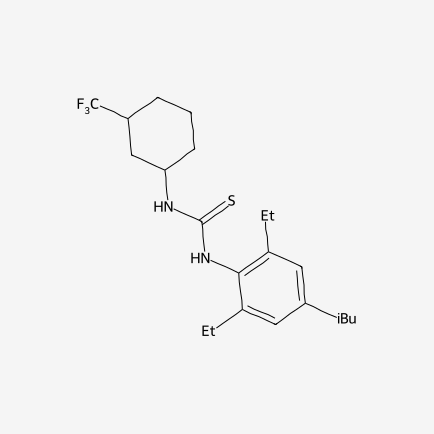 CCc1cc(C(C)CC)cc(CC)c1NC(=S)NC1CCCC(C(F)(F)F)C1